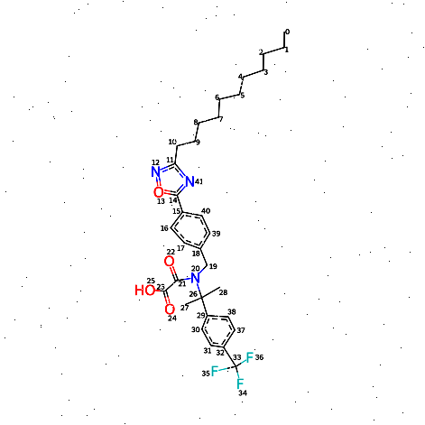 CCCCCCCCCCCc1noc(-c2ccc(CN(C(=O)C(=O)O)C(C)(C)c3ccc(C(F)(F)F)cc3)cc2)n1